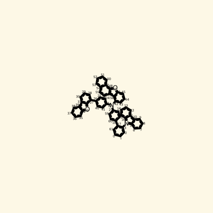 c1ccc(-n2c3ccccc3c3ccccc32)c(-c2ccc(N(c3ccc(-c4cccc5c4oc4ccccc45)cc3)c3cccc4oc5c6ccccc6ccc5c34)cc2)c1